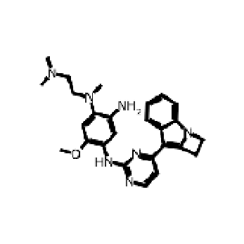 COc1cc(N(C)CCN(C)C)c(N)cc1Nc1nccc(-c2c3n(c4ccccc24)CC3)n1